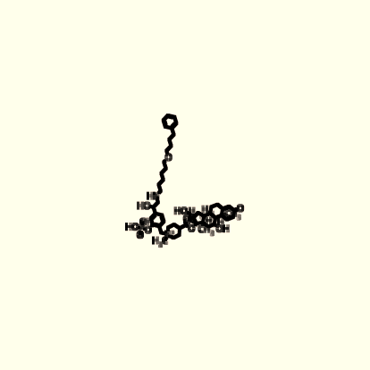 C[C@]12C=CC(=O)C=C1CC[C@@H]1[C@@H]2[C@@H](O)C[C@@]2(C)[C@H]1C[C@H]1OC(C3CC[N+](C)(Cc4ccc(C(O)CNCCCCCCOCCCCc5ccccc5)cc4OP(=O)(O)O)CC3)O[C@]12C(=O)CO